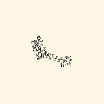 O=C1CCC(N2C(=O)c3cccc4c(NCCCCCCCNC5CCCCC5)ccc2c34)C(=O)N1